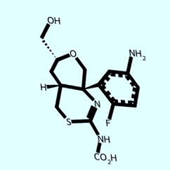 Nc1ccc(F)c([C@]23CO[C@@H](CO)C[C@H]2CSC(NC(=O)O)=N3)c1